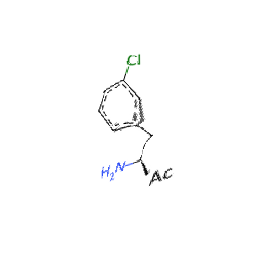 CC(=O)[C@@H](N)Cc1cccc(Cl)c1